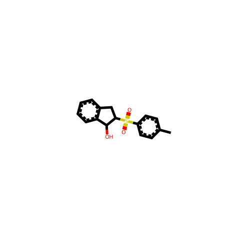 Cc1ccc(S(=O)(=O)C2Cc3ccccc3C2O)cc1